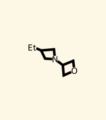 CCC1CN(C2COC2)C1